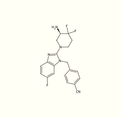 N#Cc1ccc(Cn2c(N3CCC(F)(F)[C@H](N)C3)nc3ccc(F)cc32)cc1